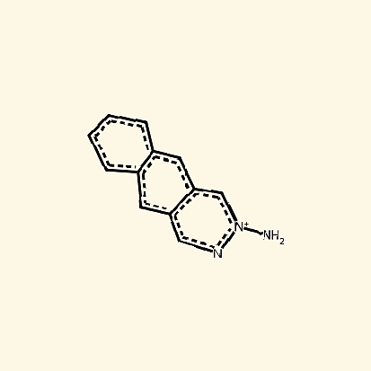 N[n+]1cc2cc3ccccc3cc2cn1